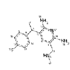 CNCc1cc(C(C)c2ccc(F)cc2)c(N)nc1N